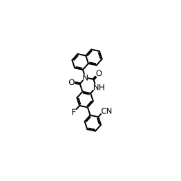 N#Cc1ccccc1-c1cc2[nH]c(=O)n(-c3cccc4ccccc34)c(=O)c2cc1F